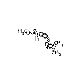 COCCC(=O)Nc1ccc2ccc(Oc3ccnc4cc(OC)c(OC)cc34)cc2c1